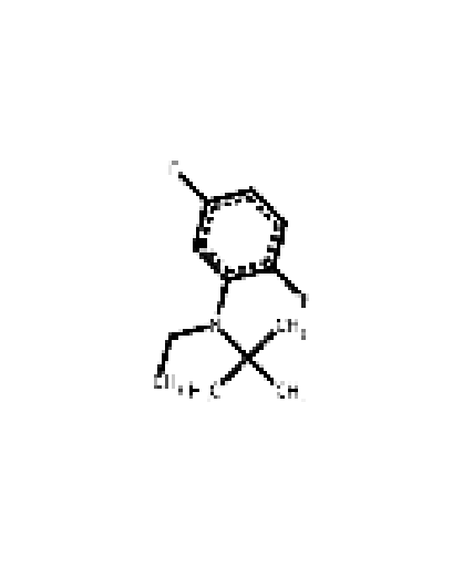 CCN(c1cc(F)ccc1F)C(C)(C)C